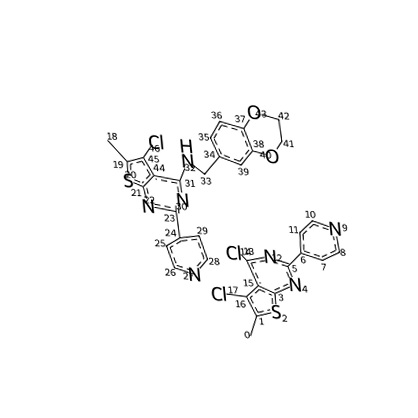 Cc1sc2nc(-c3ccncc3)nc(Cl)c2c1Cl.Cc1sc2nc(-c3ccncc3)nc(NCc3ccc4c(c3)OCCO4)c2c1Cl